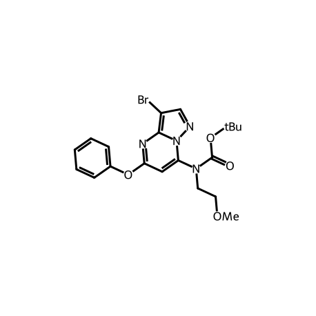 COCCN(C(=O)OC(C)(C)C)c1cc(Oc2ccccc2)nc2c(Br)cnn12